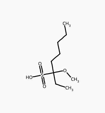 CCCCCC(CC)(OC)S(=O)(=O)O